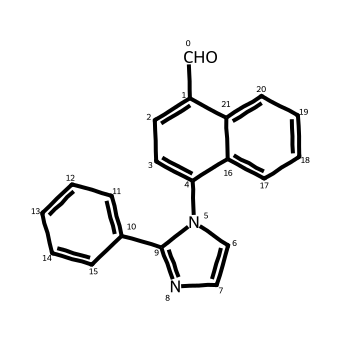 O=Cc1ccc(-n2ccnc2-c2ccccc2)c2ccccc12